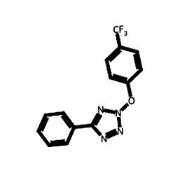 FC(F)(F)c1ccc(On2nnc(-c3ccccc3)n2)cc1